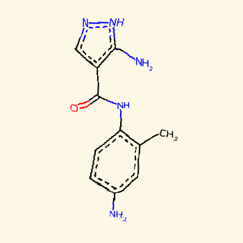 Cc1cc(N)ccc1NC(=O)c1cn[nH]c1N